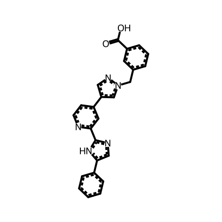 O=C(O)c1cccc(Cn2cc(-c3ccnc(-c4ncc(-c5ccccc5)[nH]4)c3)cn2)c1